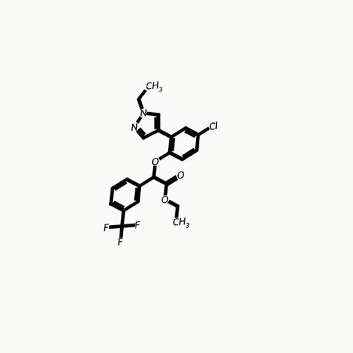 CCOC(=O)C(Oc1ccc(Cl)cc1-c1cnn(CC)c1)c1cccc(C(F)(F)F)c1